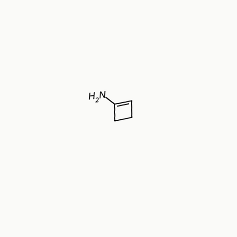 NC1=CCC1